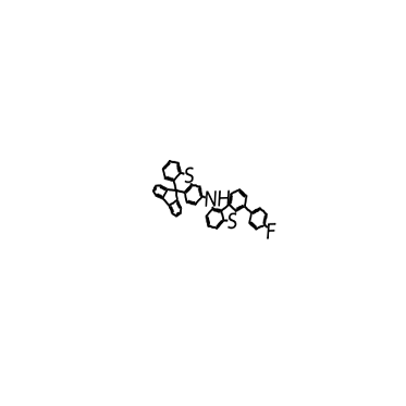 Fc1ccc(-c2cccc3c2sc2cccc(Nc4ccc5c(c4)Sc4ccccc4C54c5ccccc5-c5ccccc54)c23)cc1